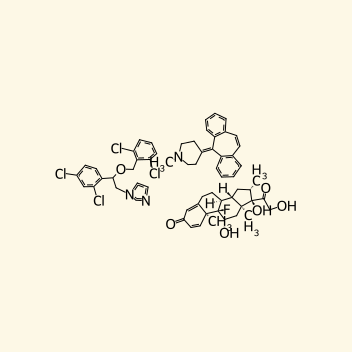 CN1CCC(=C2c3ccccc3C=Cc3ccccc32)CC1.C[C@H]1C[C@H]2[C@@H]3CCC4=CC(=O)C=C[C@]4(C)[C@@]3(F)[C@@H](O)C[C@]2(C)[C@@]1(O)C(=O)CO.Clc1ccc(C(Cn2ccnc2)OCc2c(Cl)cccc2Cl)c(Cl)c1